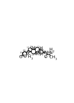 CC(N)C(=O)N[C@H]1CC[C@@]2(C)[C@H](CC[C@H]3C4=CC[C@H](c5ccc(=O)oc5)[C@@]4(C)CC[C@@H]32)C1